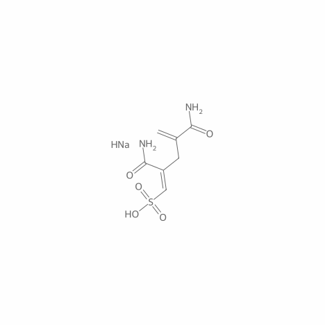 C=C(C/C(=C/S(=O)(=O)O)C(N)=O)C(N)=O.[NaH]